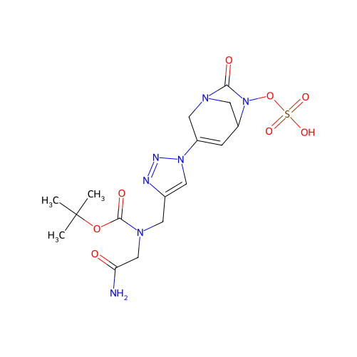 CC(C)(C)OC(=O)N(CC(N)=O)Cc1cn(C2=CC3CN(C2)C(=O)N3OS(=O)(=O)O)nn1